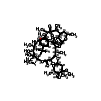 CC[C@H]1OC(=O)[C@H](C)[C@@H](O[C@H]2C[C@@](C)(OC)[C@]3(CO3)[C@H](C)O2)[C@H](C)[C@@H](O[C@@H]2O[C@H](C)C[C@H](N(C)S(=O)(=O)N(C)c3ccc(C(F)(F)F)cc3)[C@H]2O)[C@](C)(O)C[C@@H](C)CN[C@H](C)[C@@H](O)[C@]1(C)O